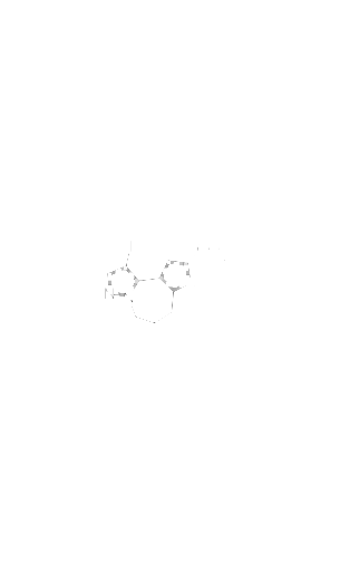 CCOC(=O)c1cc2c(s1)CCCn1ncc(I)c1-2